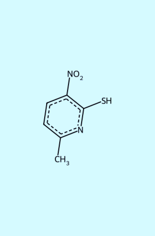 Cc1ccc([N+](=O)[O-])c(S)n1